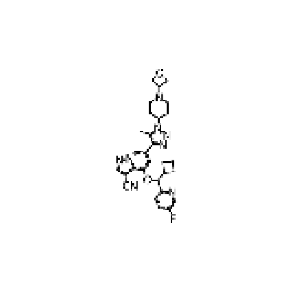 Cc1c(-c2cc(OC(c3ccc(F)cn3)C3CCC3)c3c(C#N)cnn3c2)nnn1C1CCN(C2COC2)CC1